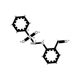 O=Cc1ccccc1ONS(=O)(=O)c1ccccc1